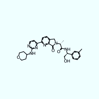 Cc1cccc([C@@H](CO)NC(=O)[C@@H](C)N2Cc3ccc(-c4ccnc(NC5CCOCC5)n4)nc3C2=O)c1